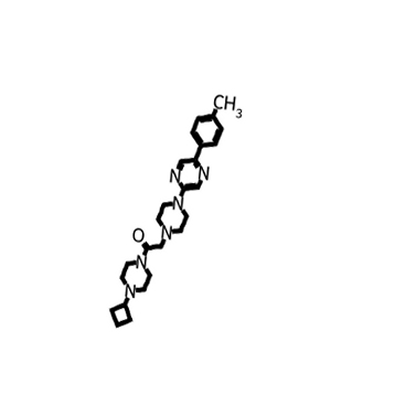 Cc1ccc(-c2cnc(N3CCN(CC(=O)N4CCN(C5CCC5)CC4)CC3)cn2)cc1